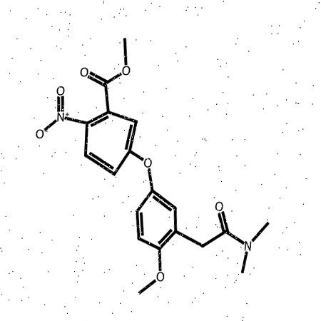 COC(=O)c1cc(Oc2ccc(OC)c(CC(=O)N(C)C)c2)ccc1[N+](=O)[O-]